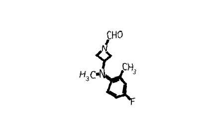 Cc1cc(F)ccc1N(C)C1CN(C=O)C1